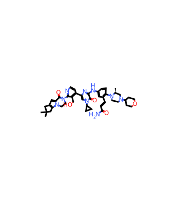 C[C@H]1CN(C2CCOCC2)CCN1c1ccc(Nc2nc(-c3ccnc(N4CCn5c(cc6c5CC(C)(C)C6)C4=O)c3CO)cn(C3CC3)c2=O)cc1C=CC(N)=O